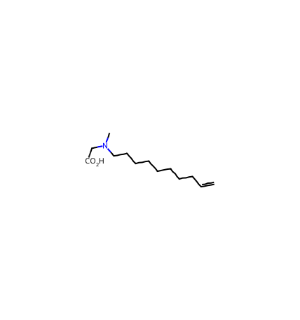 C=CCCCCCCCCN(C)CC(=O)O